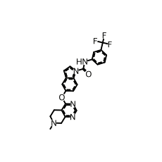 CN1CCc2c(ncnc2Oc2ccc3c(ccn3C(=O)Nc3cccc(C(F)(F)F)c3)c2)C1